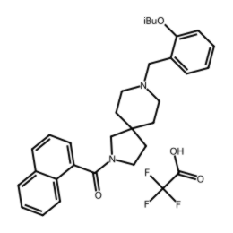 CC(C)COc1ccccc1CN1CCC2(CC1)CCN(C(=O)c1cccc3ccccc13)C2.O=C(O)C(F)(F)F